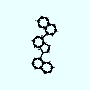 C1=CC(c2cccc3ccccc23)c2cccc(-c3cccc4ccccc34)c21